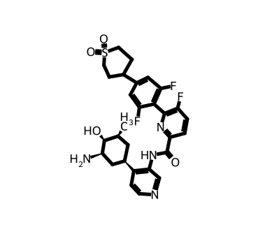 C[C@H]1C[C@@H](c2ccncc2NC(=O)c2ccc(F)c(-c3c(F)cc(C4CCS(=O)(=O)CC4)cc3F)n2)C[C@@H](N)[C@H]1O